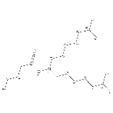 CCCCC(=O)ON(CCCCCC(C)C)CCCCCC(C)C